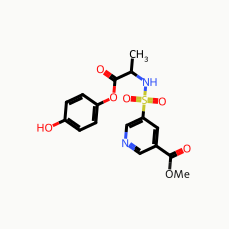 COC(=O)c1cncc(S(=O)(=O)NC(C)C(=O)Oc2ccc(O)cc2)c1